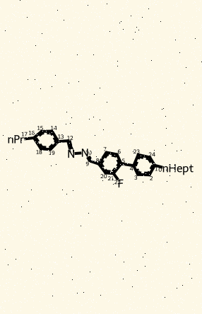 CCCCCCCc1ccc(-c2ccc(C=NN=Cc3ccc(CCC)cc3)cc2F)cc1